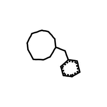 c1ccc(CC2CCCCCCCCC2)cc1